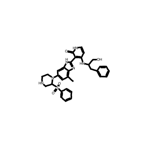 Cc1cc(N2CCNCC2S(=O)(=O)c2ccccc2)cc2[nH]c(-c3c(NC(CO)Cc4ccccc4)cc[nH]c3=O)nc12